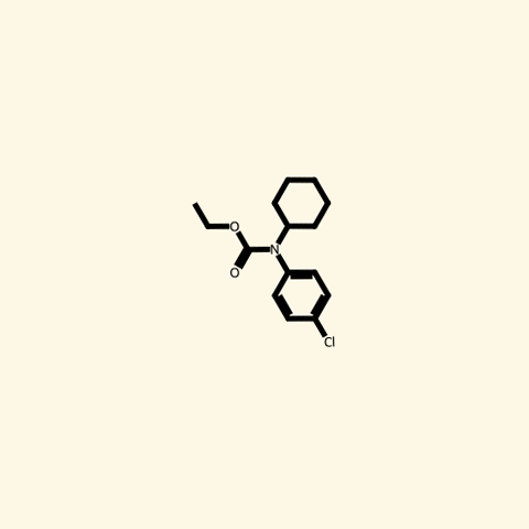 CCOC(=O)N(c1ccc(Cl)cc1)C1CCCCC1